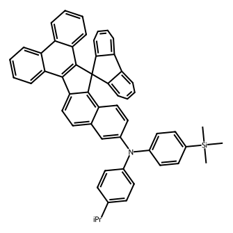 CC(C)c1ccc(N(c2ccc([Si](C)(C)C)cc2)c2ccc3c4c(ccc3c2)-c2c(c3ccccc3c3ccccc23)C42c3ccccc3-c3ccccc32)cc1